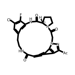 CC(=O)c1nn2c3ccc(cc13)C(=O)NCCc1cc(Cl)c(F)c(c1)NC(=O)[C@@H]1CCCN1C(=O)C2